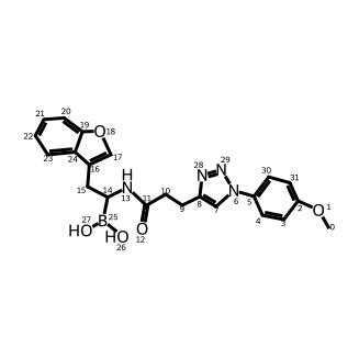 COc1ccc(-n2cc(CCC(=O)NC(Cc3coc4ccccc34)B(O)O)nn2)cc1